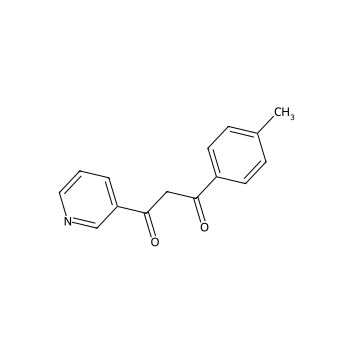 Cc1ccc(C(=O)CC(=O)c2cccnc2)cc1